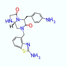 Nc1ccc(C[C@H]2C(=O)N(Cc3cccc4sc(N)nc34)C[C@@H]3NCC(=O)N32)cc1